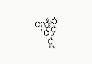 NN1CCN(CCN2CCN(c3ccc(F)cc3NC(=O)C(Cc3ccccc3)NC(=O)c3ccccc3F)CC2)CC1